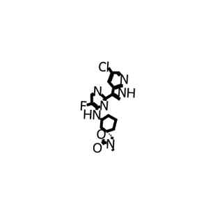 CN1C[C@]2(CCC[C@H](Nc3nc(-c4c[nH]c5ncc(Cl)cc45)ncc3F)C2)OC1=O